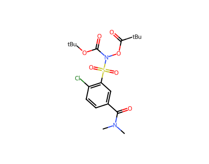 CN(C)C(=O)c1ccc(Cl)c(S(=O)(=O)N(OC(=O)C(C)(C)C)C(=O)OC(C)(C)C)c1